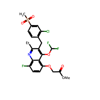 CCc1nc2c(F)ccc(OCC(=O)OC)c2c(OC(F)F)c1Cc1ccc(S(C)(=O)=O)cc1Cl